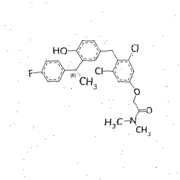 C[C@H](c1ccc(F)cc1)c1cc(Cc2c(Cl)cc(OCC(=O)N(C)C)cc2Cl)ccc1O